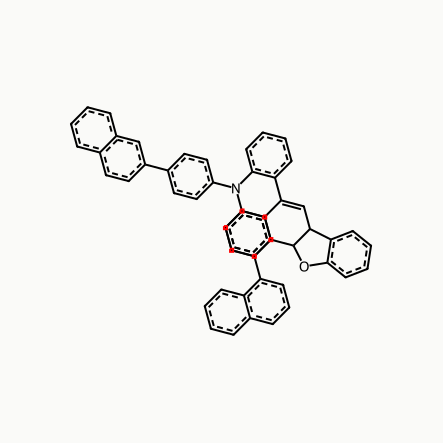 C1=C(c2ccccc2N(c2ccc(-c3ccc4ccccc4c3)cc2)c2ccc(-c3cccc4ccccc34)cc2)c2ccccc2C2Oc3ccccc3C12